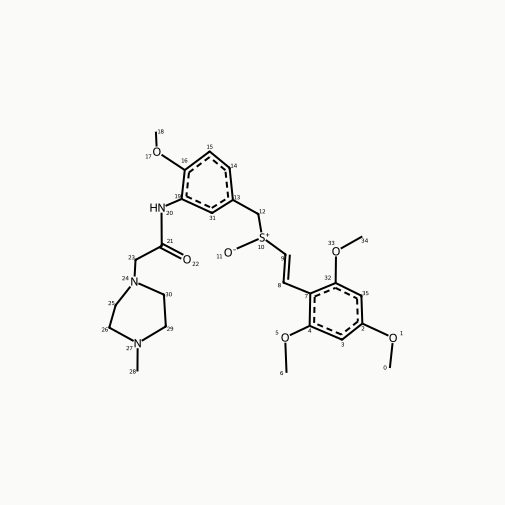 COc1cc(OC)c(C=C[S+]([O-])Cc2ccc(OC)c(NC(=O)CN3CCN(C)CC3)c2)c(OC)c1